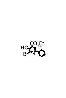 CCOC(=O)c1cc(-c2ccccc2F)nc(Br)c1O